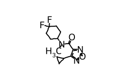 CN(C(=O)c1nonc1C1CC1)C1CCC(F)(F)CC1